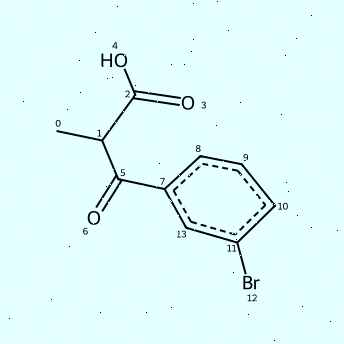 CC(C(=O)O)C(=O)c1cccc(Br)c1